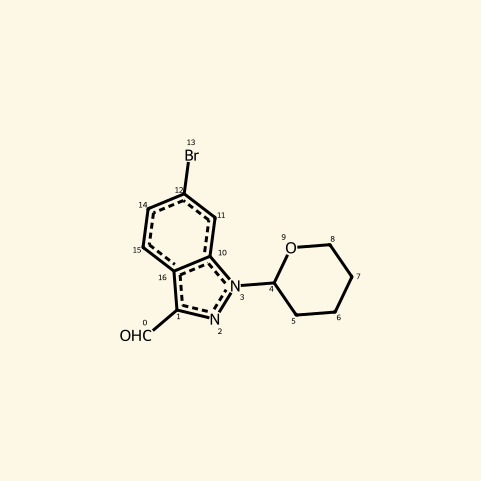 O=Cc1nn(C2CCCCO2)c2cc(Br)ccc12